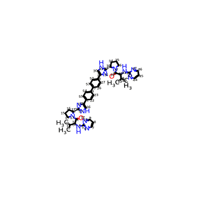 CC(C)[C@H](Nc1ncccn1)C(=O)N1CCC[C@H]1c1nc(-c2ccc(-c3ccc(-c4c[nH]c([C@@H]5CCCN5C(=O)[C@@H](Nc5ncccn5)C(C)C)n4)cc3)cc2)c[nH]1